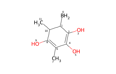 BC1C(O)=C(O)C(C)=C(O)C1C